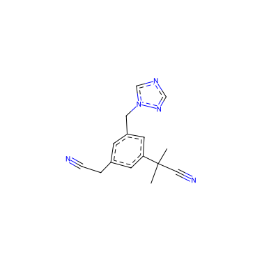 CC(C)(C#N)c1cc(CC#N)cc(Cn2cncn2)c1